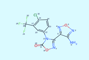 Nc1nonc1-c1noc(=O)n1-c1ccc(Cl)c(C(F)(F)F)c1